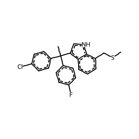 CSCc1cccc2c(C(C)(c3ccc(F)cc3)c3ccc(Cl)cc3)c[nH]c12